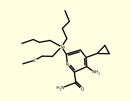 CCC[CH2][Sn]([CH2]CCC)([CH2]CCC)[c]1cc(C2CC2)c(N)c(C(N)=O)n1